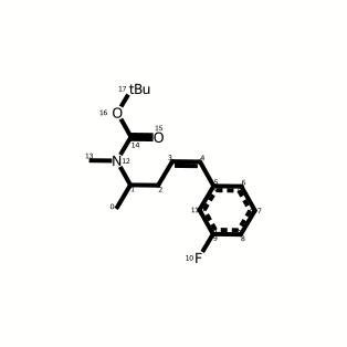 CC(C/C=C\c1cccc(F)c1)N(C)C(=O)OC(C)(C)C